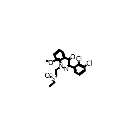 CC[S+]([O-])CCn1nc(-c2cccc(Cl)c2Cl)c(=O)c2cccc(OC)c21